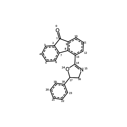 O=C1c2ccccc2-c2c1cccc2C1=NCC(c2ccccc2)O1